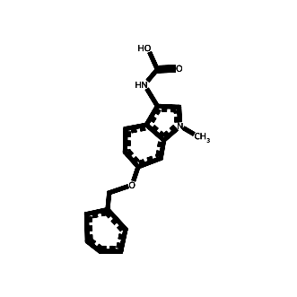 Cn1cc(NC(=O)O)c2ccc(OCc3ccccc3)cc21